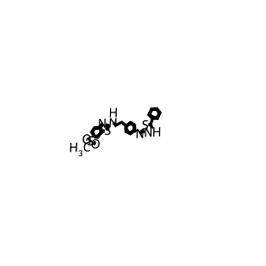 CS(=O)(=O)c1ccc2nc(NCCc3ccc(/N=C4/NCC(c5ccccc5)S4)cc3)sc2c1